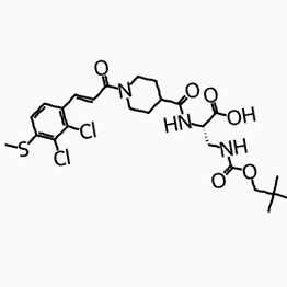 CSc1ccc(/C=C/C(=O)N2CCC(C(=O)N[C@@H](CNC(=O)OCC(C)(C)C)C(=O)O)CC2)c(Cl)c1Cl